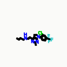 CCCCNCCc1nc(C)nc2c1CCN2c1ccc(C(F)(F)F)cc1Cl